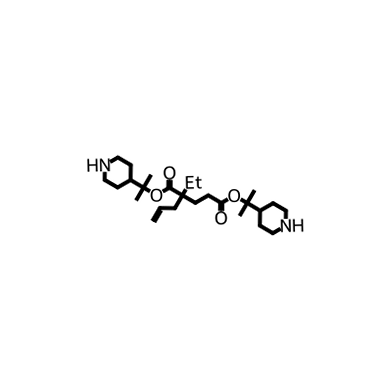 C=CCC(CC)(CCC(=O)OC(C)(C)C1CCNCC1)C(=O)OC(C)(C)C1CCNCC1